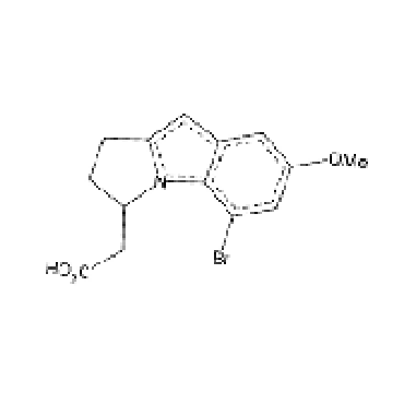 COc1cc(Br)c2c(c1)cc1n2C(CC(=O)O)CC1